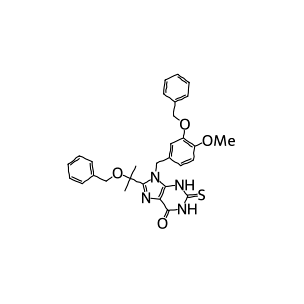 COc1ccc(Cn2c(C(C)(C)OCc3ccccc3)nc3c(=O)[nH]c(=S)[nH]c32)cc1OCc1ccccc1